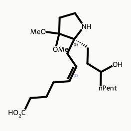 CCCCCC(O)CC[C@@]1(C/C=C\CCCC(=O)O)NCCC1(OC)OC